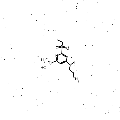 CCCN(I)c1cc(OC)nc(S(=O)(=O)CI)c1.Cl